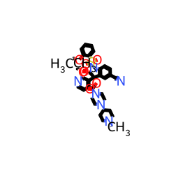 CCOc1ccccc1S(=O)(=O)N1C(=O)C(OC(=O)N2CCN(C3CCN(C)CC3)CC2)(c2cccnc2OCC)c2cc(C#N)ccc21